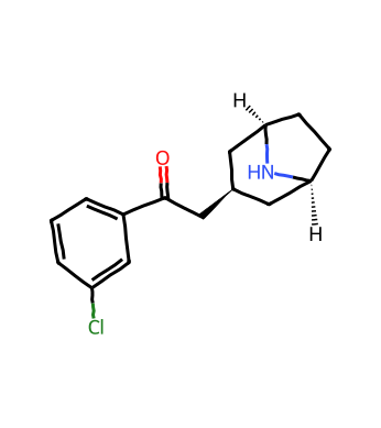 O=C(C[C@H]1C[C@H]2CC[C@@H](C1)N2)c1cccc(Cl)c1